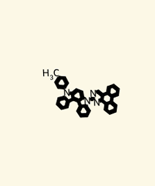 Cc1ccc(-n2c3ccccc3c3c4c5ccccc5n(-c5ncc6c7ccccc7c7ccccc7c6n5)c4ccc32)cc1